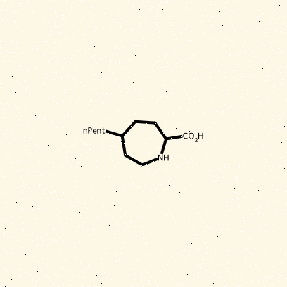 CCCCCC1CCNC(C(=O)O)CC1